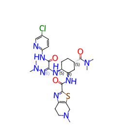 CN1CCc2nc(C(=O)N[C@@H]3C[C@@H](C(=O)N(C)C)CC[C@@H]3N/C(=N/N(C)C)C(=O)Nc3ccc(Cl)cn3)sc2C1